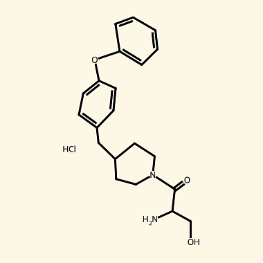 Cl.NC(CO)C(=O)N1CCC(Cc2ccc(Oc3ccccc3)cc2)CC1